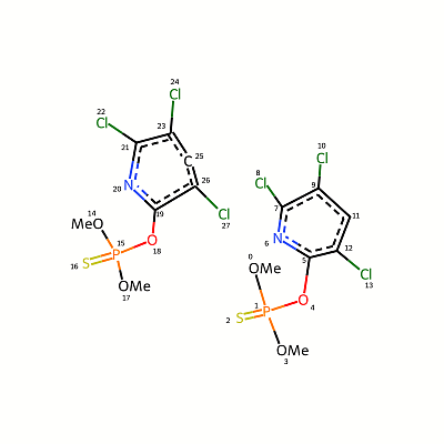 COP(=S)(OC)Oc1nc(Cl)c(Cl)cc1Cl.COP(=S)(OC)Oc1nc(Cl)c(Cl)cc1Cl